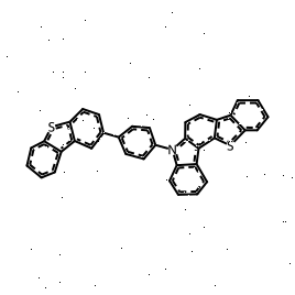 c1ccc2c(c1)sc1ccc(-c3ccc(-n4c5ccccc5c5c6sc7ccccc7c6ccc54)cc3)cc12